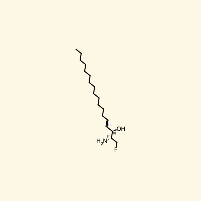 CCCCCCCCCCCCC/C=C/[C@@H](O)[C@@H](N)CF